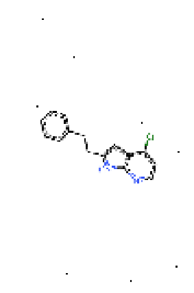 Clc1ccnc2[nH]c(CCc3ccccc3)cc12